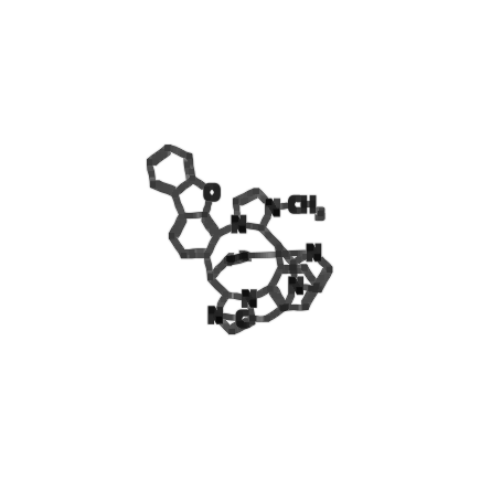 CN1C=CN2c3c(ccc4c3oc3ccccc34)C3c4ccccc4N4C=CN5CCCN6C=CN(c7ccccc7C(C12)C54)C36